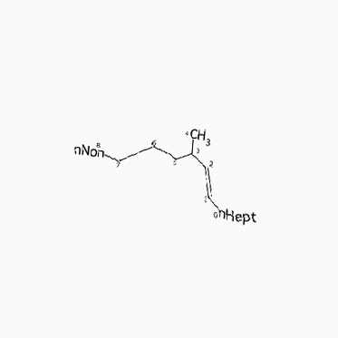 CCCCCCCC=CC(C)CCCCCCCCCCCC